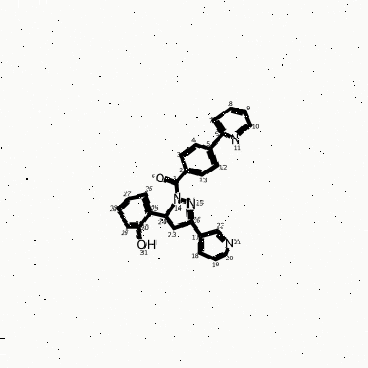 O=C(c1ccc(-c2ccccn2)cc1)N1N=C(c2cccnc2)CC1c1ccccc1O